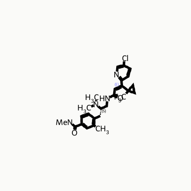 CNC(=O)c1ccc(C[C@@H](CNC(=O)/C=C(/c2ccc(Cl)cn2)C2(C(F)(F)F)CC2)N(C)C)c(C)c1